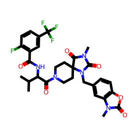 CC(C)C(NC(=O)c1cc(C(F)(F)F)ccc1F)C(=O)N1CCC2(CC1)C(=O)N(C)C(=O)N2Cc1ccc2oc(=O)n(C)c2c1